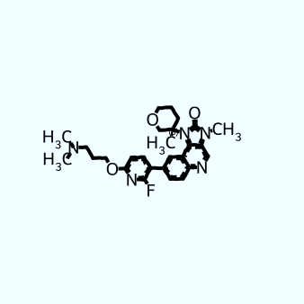 CN(C)CCCOc1ccc(-c2ccc3ncc4c(c3c2)n([C@@]2(C)CCCOC2)c(=O)n4C)c(F)n1